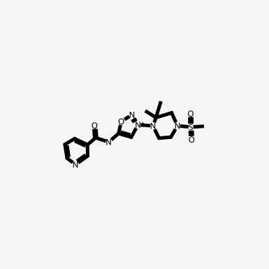 CC1(C)CN(S(C)(=O)=O)CCN1[n+]1cc([N-]C(=O)c2cccnc2)on1